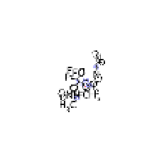 C/C=C(\C=C/C(=C/CC)OC1CCCN(C/C=C/C(=O)N2CCCC2)C1)C(=C(/CC(F)(F)F)c1ccccc1)/c1ccc(NC2CCCCO2)c(/C(F)=C/CC)c1